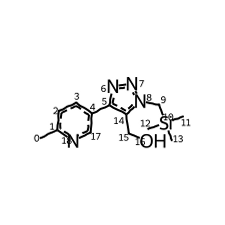 Cc1ccc(-c2nnn(C[Si](C)(C)C)c2CO)cn1